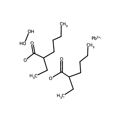 CCCCC(CC)C(=O)[O-].CCCCC(CC)C(=O)[O-].OO.[Pb+2]